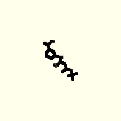 CC(C)(C)OC(=O)/N=C(\N)Nc1cccc(C(=O)O)c1